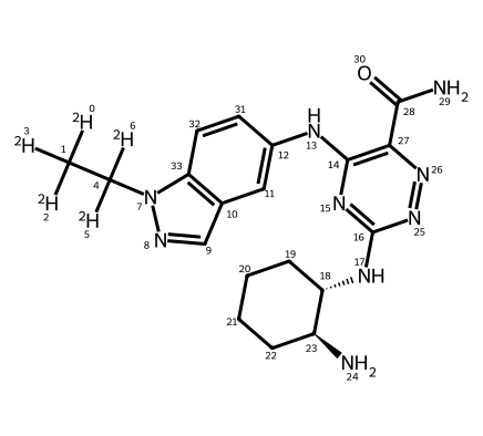 [2H]C([2H])([2H])C([2H])([2H])n1ncc2cc(Nc3nc(N[C@H]4CCCC[C@@H]4N)nnc3C(N)=O)ccc21